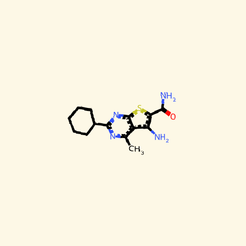 Cc1nc(C2CCCCC2)nc2sc(C(N)=O)c(N)c12